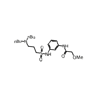 CCCCN(CCCC)CCCS(=O)(=O)Nc1cccc(NC(=O)COC)c1